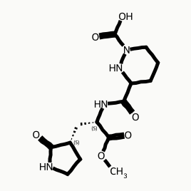 COC(=O)[C@H](C[C@@H]1CCNC1=O)NC(=O)C1CCCN(C(=O)O)N1